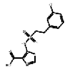 O=C(O)c1ncsc1NS(=O)(=O)CCc1cccc(Cl)c1